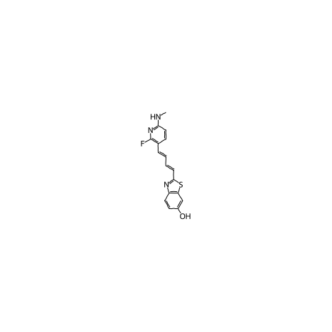 CNc1ccc(/C=C/C=C/c2nc3ccc(O)cc3s2)c(F)n1